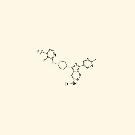 CCNc1cc2c(cn1)c(-c1cnc(C)nc1)nn2[C@H]1CC[C@@H](Oc2nccc(C(F)(F)F)c2F)CC1